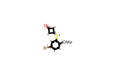 COc1ccc(Br)cc1SC1CC(=O)C1